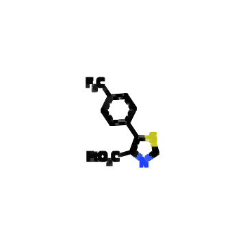 CCOC(=O)c1ncsc1-c1ccc(C(F)(F)F)cc1